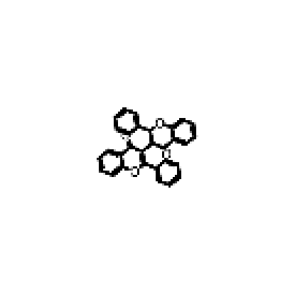 O=C1c2ccccc2OC(c2ccccc2)C1c1c(-c2ccccc2)oc2ccccc2c1=O